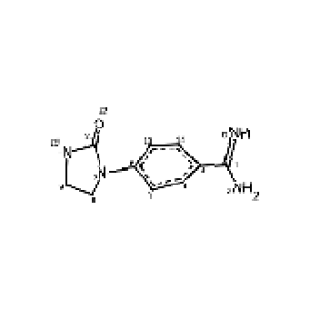 N=C(N)c1ccc(N2CC[N]C2=O)cc1